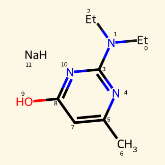 CCN(CC)c1nc(C)cc(O)n1.[NaH]